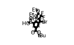 CCOP(OCC)C(F)(F)c1sc2c(B(O)O)cc(C(=O)OC(C)(C)C)cc2c1Br